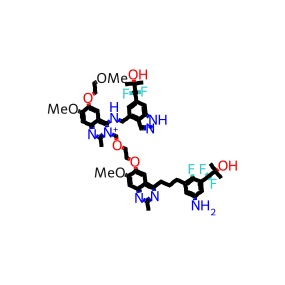 COCCOc1cc2c(NCc3cc(C(F)(F)C(C)(C)O)cc4[nH]ncc34)[n+](COCCOc3cc4c(CCCc5cc(N)cc(C(F)(F)C(C)(C)O)c5F)nc(C)nc4cc3OC)c(C)nc2cc1OC